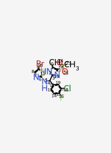 Cc1[nH]c(C(Nc2ncc(Br)s2)c2ccc(F)c(Cl)c2)nc1S(C)(=O)=O